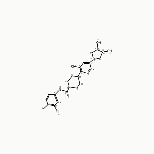 Cc1ccc(NC(=O)N2CCC(c3ncc(N4C[C@@H](O)[C@@H](O)C4)cc3Cl)CC2)cc1Cl